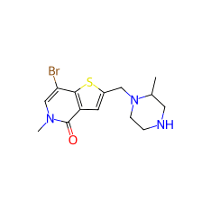 CC1CNCCN1Cc1cc2c(=O)n(C)cc(Br)c2s1